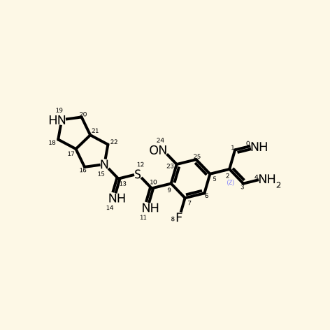 N=C/C(=C\N)c1cc(F)c(C(=N)SC(=N)N2CC3CNCC3C2)c(N=O)c1